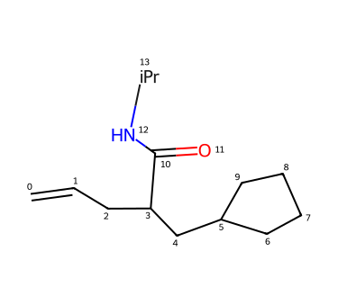 C=CCC(CC1CCCC1)C(=O)NC(C)C